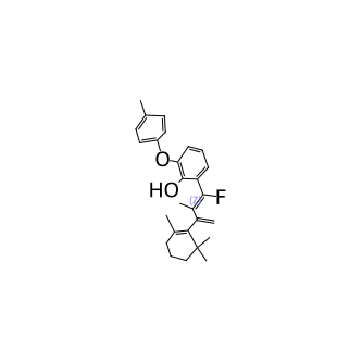 C=C(C1=C(C)CCCC1(C)C)/C(C)=C(\F)c1cccc(Oc2ccc(C)cc2)c1O